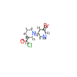 O=C(Cl)[C@H]1CCCN(c2cncc(Br)c2)C1